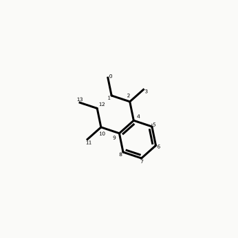 CCC(C)c1[c]cccc1C(C)CC